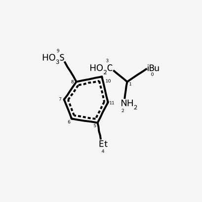 CCC(C)C(N)C(=O)O.CCc1ccc(S(=O)(=O)O)cc1